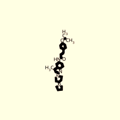 Cc1cc(N2CCC(N3CCCC3)CC2)nc2ccc(NC(=O)/C=C/c3ccc(OC(C)C)cc3)cc12